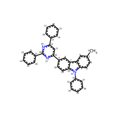 Cc1ccc2c(c1)c1cc(-c3cc(-c4ccccc4)nc(-c4ccccc4)n3)ccc1n2-c1ccccc1